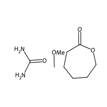 COC.NC(N)=O.O=C1CCCCCO1